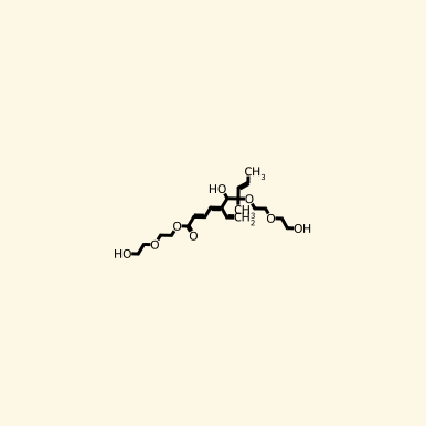 C=C/C(=C\C=C\C(=O)OCCOCCO)C(O)C(C)(C=CC)OCCOCCO